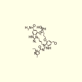 CCn1nc(C)cc1C(=O)/N=c1/[nH]c2cc(C=O)cc(OCCCOPO)c2n1C/C=C/Cn1/c(=N\C)[nH]c2cc(C(N)=O)cc(OC)c21